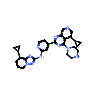 c1cc(C2CC2)c2nc(Nc3cc(-c4nc(N5CCNCC5)c5c(C6CC6)cncc5n4)ccn3)nn2c1